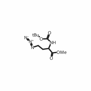 COC(=O)C(CCN=[N+]=[N-])NC(=O)OC(C)(C)C